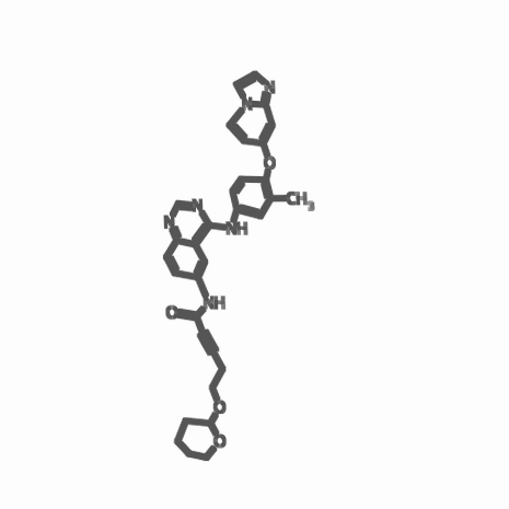 Cc1cc(Nc2ncnc3ccc(NC(=O)C#CCCOC4CCCCO4)cc23)ccc1Oc1ccn2ccnc2c1